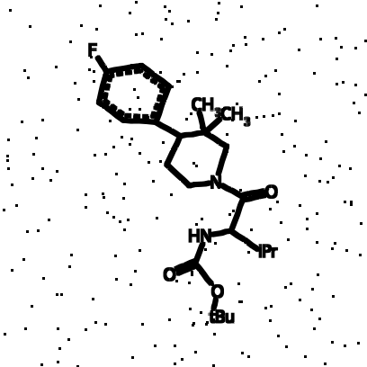 CC(C)C(NC(=O)OC(C)(C)C)C(=O)N1CCC(c2ccc(F)cc2)C(C)(C)C1